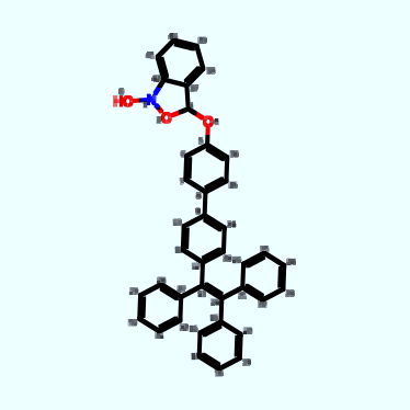 ON1OC(Oc2ccc(-c3ccc(C(=C(c4ccccc4)c4ccccc4)c4ccccc4)cc3)cc2)c2ccccc21